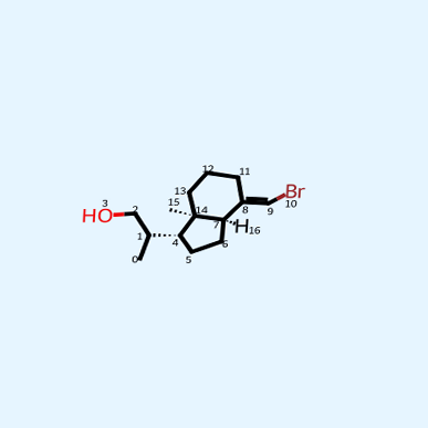 CC(CO)[C@H]1CC[C@@H]2/C(=C/Br)CCC[C@@]21C